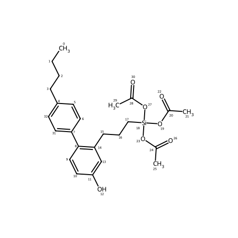 CCCCc1ccc(-c2ccc(O)cc2CCC[Si](OC(C)=O)(OC(C)=O)OC(C)=O)cc1